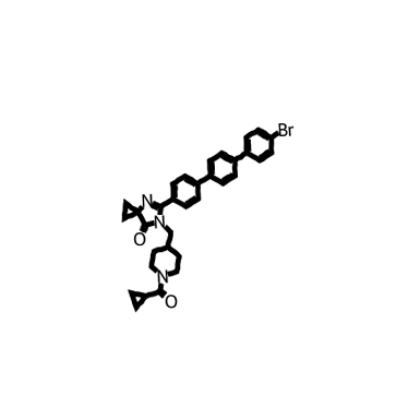 O=C(C1CC1)N1CCC(CN2C(=O)C3(CC3)N=C2c2ccc(-c3ccc(-c4ccc(Br)cc4)cc3)cc2)CC1